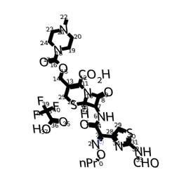 CCCO/N=C(/C(=O)NC1C(=O)N2C(C(=O)O)=C(COC(=O)N3CCN(C)CC3)CS[C@H]12)c1csc(NC=O)n1.O=C(O)C(F)(F)F